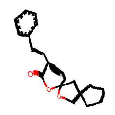 O=C1OC2(C=C1/C=C/c1ccccc1)CC1(CCCC1)CO2